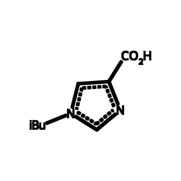 CCC(C)n1cnc(C(=O)O)c1